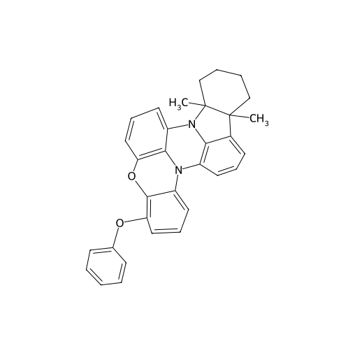 CC12CCCCC1(C)N1c3cccc4c3N(c3cccc(Oc5ccccc5)c3O4)c3cccc2c31